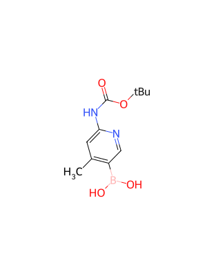 Cc1cc(NC(=O)OC(C)(C)C)ncc1B(O)O